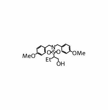 CCC(CO)S(=O)(=O)N(Cc1ccc(OC)cc1)Cc1ccc(OC)cc1